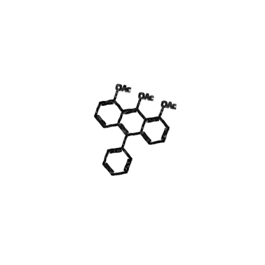 CC(=O)Oc1cccc2c(-c3ccccc3)c3cccc(OC(C)=O)c3c(OC(C)=O)c12